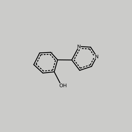 Oc1ccc[c]c1-c1ccncn1